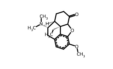 CC[C@@]12c3c4ccc(OC)c3OC1C(=O)CC[C@@H]2[C@@H](N(C)C)C4